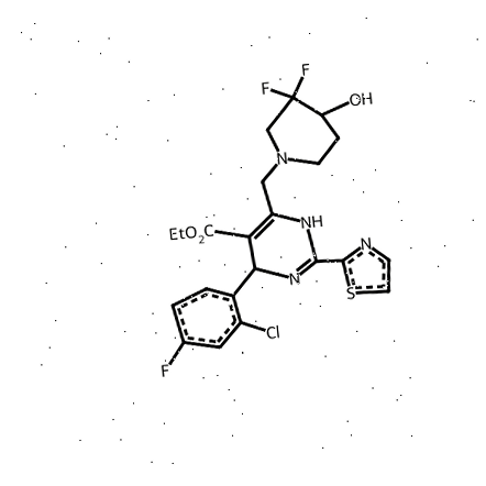 CCOC(=O)C1=C(CN2CCC(O)C(F)(F)C2)NC(c2nccs2)=NC1c1ccc(F)cc1Cl